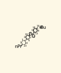 CCC[C@H]1CC[C@H](c2ccc(OC(=O)c3ccc(C[C@@H](C)CC)cc3)cc2)CC1